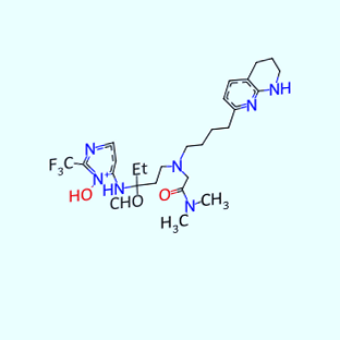 CCC(C=O)(CCN(CCCCc1ccc2c(n1)NCCC2)CC(=O)N(C)C)Nc1ccnc(C(F)(F)F)[n+]1O